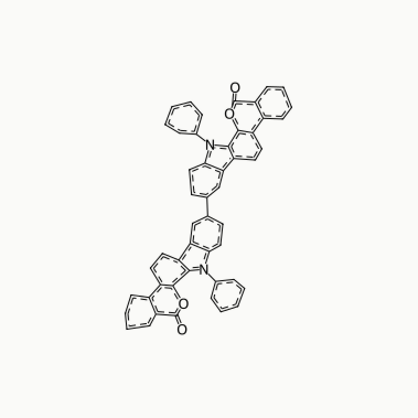 O=c1oc2c(ccc3c4cc(-c5ccc6c(c5)c5ccc7c8ccccc8c(=O)oc7c5n6-c5ccccc5)ccc4n(-c4ccccc4)c32)c2ccccc12